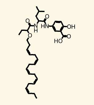 CC/C=C\C/C=C\C/C=C\C/C=C\C/C=C\CCOC(CC)C(=O)NC(CC(C)C)C(=O)Nc1ccc(O)c(C(=O)O)c1